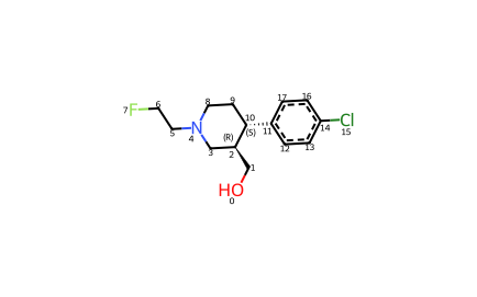 OC[C@H]1CN(CCF)CC[C@@H]1c1ccc(Cl)cc1